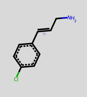 NC/C=C/c1ccc(Cl)cc1